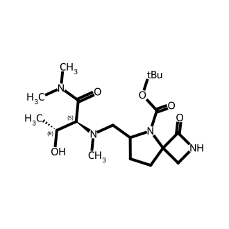 C[C@@H](O)[C@@H](C(=O)N(C)C)N(C)CC1CCC2(CNC2=O)N1C(=O)OC(C)(C)C